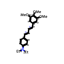 CCN(CC)c1ccc(/C=C/C=C/c2cc(OC)c(OC)c(OC)c2)cc1